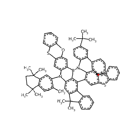 Cc1cc2c(cc1N1c3cc4c(cc3B3c5c1cc1c(c5-c5cc6sc7ccccc7c6cc5N3c3ccc(C(C)(C)C)cc3-c3ccccc3)-c3ccccc3C1(C)C)Oc1ccccc1S4)C(C)(C)CCC2(C)C